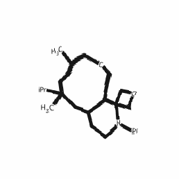 CC1CCCC2C(CCN(C(C)C)C23COC3)CC(C)(C(C)C)C1